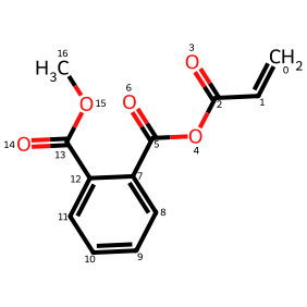 C=CC(=O)OC(=O)c1ccccc1C(=O)OC